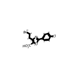 O=C(O)c1oc(-c2ccc(Cl)cc2)nc1CCBr